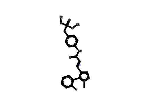 CCOP(=O)(Cc1ccc(NC(=O)/C=C/c2cnn(C)c2-c2ccccc2F)cc1)OCC